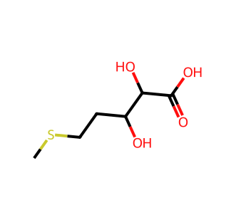 CSCCC(O)C(O)C(=O)O